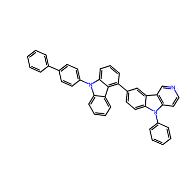 c1ccc(-c2ccc(-n3c4ccccc4c4c(-c5ccc6c(c5)c5cnccc5n6-c5ccccc5)cccc43)cc2)cc1